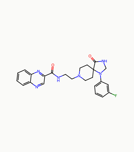 O=C(NCCN1CCC2(CC1)C(=O)NCN2c1cccc(F)c1)c1cnc2ccccc2n1